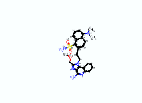 CCOCc1nc2c(N)nc3ccccc3c2n1CCc1ccc2c(N(C)C)cccc2c1S(N)(=O)=O